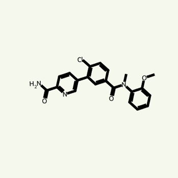 COc1ccccc1N(C)C(=O)c1ccc(Cl)c(-c2ccc(C(N)=O)nc2)c1